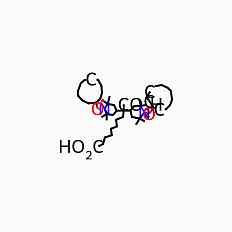 CC1(C)CC(C(CCCCCCCC(=O)O)(C(=O)O)C2CC(C)(C)N(OC3CCCCCCCCCCC3)C(C)(C)C2)CC(C)(C)N1OC1CCCCCCCCCCC1